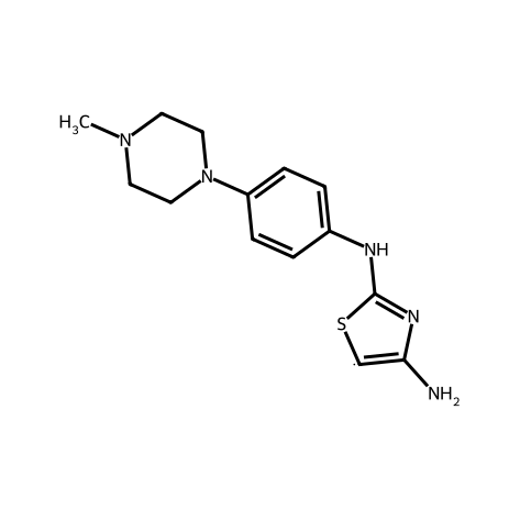 CN1CCN(c2ccc(Nc3nc(N)[c]s3)cc2)CC1